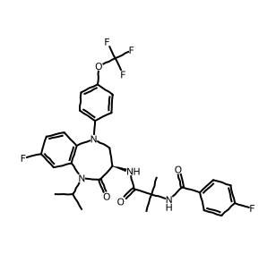 CC(C)N1C(=O)[C@H](NC(=O)C(C)(C)NC(=O)c2ccc(F)cc2)CN(c2ccc(OC(F)(F)F)cc2)c2ccc(F)cc21